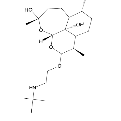 C[C@H]1C(OCCNC(C)(C)I)O[C@@H]2O[C@](C)(O)CCC3[C@H](C)CCC1[C@]32O